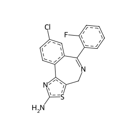 Nc1nc2c(s1)CN=C(c1ccccc1F)c1cc(Cl)ccc1-2